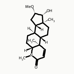 CO[C@H]1C[C@H]2[C@@H]3CC[C@H]4N(C)C(=O)C=C[C@]4(C)[C@H]3CC[C@]2(C)[C@H]1O